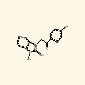 CCCn1c(=N)n(CC(=O)c2ccc(Br)cc2)c2ccccc21